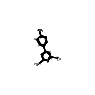 Cc1ccc(-c2cc(C)nc(C)c2)cc1